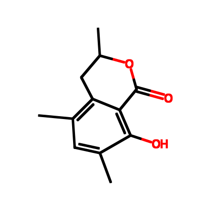 Cc1cc(C)c2c(c1O)C(=O)OC(C)C2